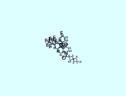 CC1CC2(C1)CC(C(=O)N1CCCC3(S(=O)(=O)c4ccc(F)cc4)c4ccc(C(F)(C(F)(F)F)C(F)(F)F)cc4CCC13)C2